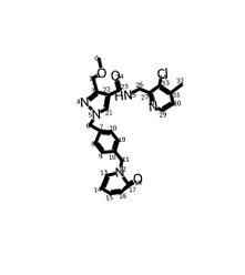 COCc1nn(Cc2ccc(Cn3ccccc3=O)cc2)cc1C(=O)NCc1nccc(C)c1Cl